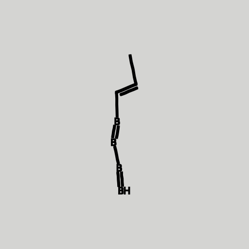 B=BB=B/C=C/C